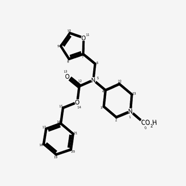 O=C(O)N1CCC(N(Cc2ccco2)C(=O)OCc2ccccc2)CC1